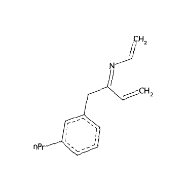 C=C/N=C(\C=C)Cc1cccc(CCC)c1